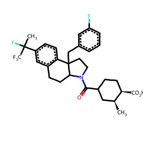 C[C@H]1CC(C(=O)N2CCC3(Cc4cccc(F)c4)c4ccc(C(C)(F)C(F)(F)F)cc4CCC23)CC[C@H]1C(=O)O